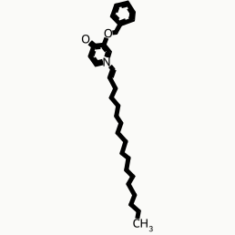 CCCCCCCCCCCCCCCCC=Cn1ccc(=O)c(OCc2ccccc2)c1